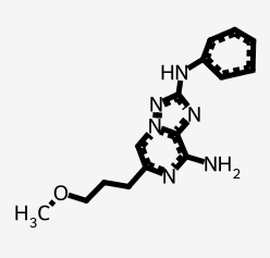 COCCCc1cn2nc(Nc3ccccc3)nc2c(N)n1